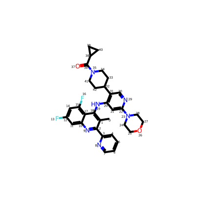 Cc1c(-c2ccccn2)nc2cc(F)cc(F)c2c1Nc1cc(N2CCOCC2)ncc1C1CCN(C(=O)C2CC2)CC1